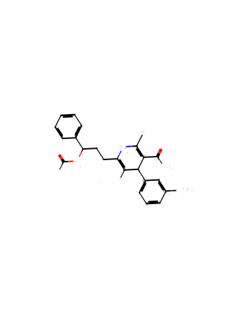 CCOC(=O)C1=C(CCC(OC(=O)C(F)(F)F)c2ccccc2)NC(C)=C(C(=O)OC)C1c1cccc(SC)c1